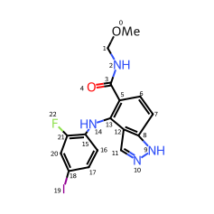 COCNC(=O)c1ccc2[nH]ncc2c1Nc1ccc(I)cc1F